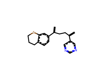 C=C(CCC(=C)c1ccc2c(c1)SCCC2)c1cncnc1